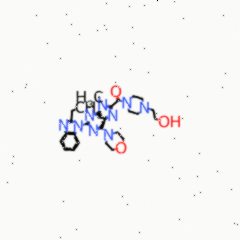 CCc1nc2ccccc2n1-c1nc(N2CCOCC2)c2nc(C(=O)N3CCN(CCO)CC3)n(C)c2n1